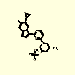 C[C@@H]1C[C@H](N=S(C)(C)=O)CN(c2ccnc(-c3cnc4cc(F)c(C5CC5)cn34)n2)C1